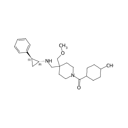 [CH]C1CCC(C(=O)N2CCC(CN[C@@H]3C[C@H]3c3ccccc3)(COC)CC2)CC1